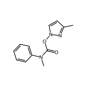 Cc1ccn(OC(=O)N(C)c2ccccc2)n1